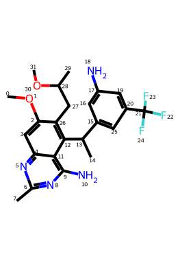 COc1cc2nc(C)nc(N)c2c(C(C)c2cc(N)cc(C(F)(F)F)c2)c1CC(C)OC